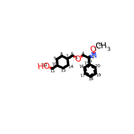 CO/N=C(\COCC1CCC(CO)CC1)c1ccccc1